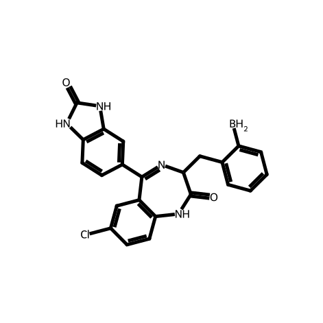 Bc1ccccc1CC1N=C(c2ccc3[nH]c(=O)[nH]c3c2)c2cc(Cl)ccc2NC1=O